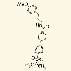 COc1ccc(CCCNC(=O)N2CCC(c3ccc(S(=O)(=O)N(C)C)cc3)CC2)cc1